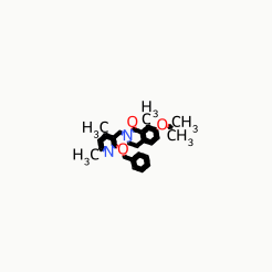 Cc1cc(C)c(CN2CCc3ccc(OC(C)C)c(C)c3C2=O)c(OCc2ccccc2)n1